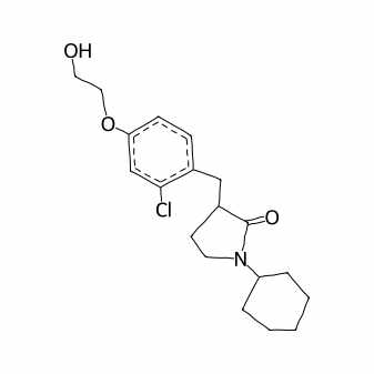 O=C1C(Cc2ccc(OCCO)cc2Cl)CCN1C1CCCCC1